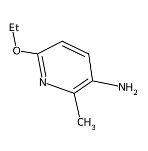 CCOc1ccc(N)c(C)n1